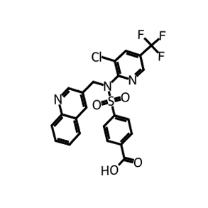 O=C(O)c1ccc(S(=O)(=O)N(Cc2cnc3ccccc3c2)c2ncc(C(F)(F)F)cc2Cl)cc1